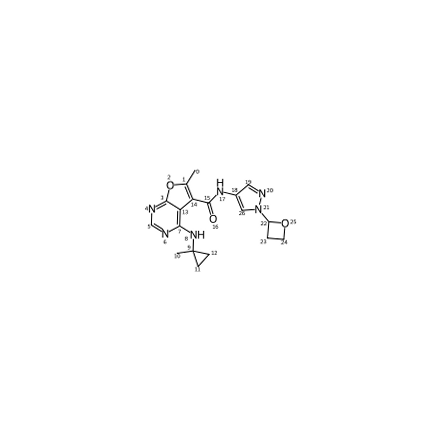 Cc1oc2ncnc(NC3(C)CC3)c2c1C(=O)Nc1cnn(C2CCO2)c1